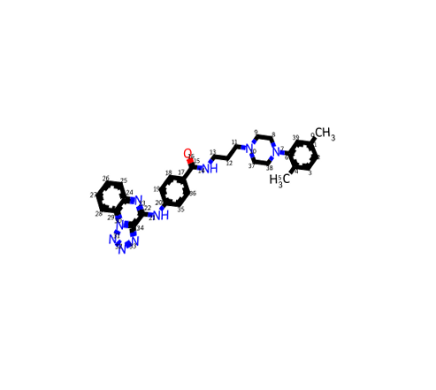 Cc1ccc(C)c(N2CCN(CCCNC(=O)c3ccc(Nc4nc5ccccc5n5nnnc45)cc3)CC2)c1